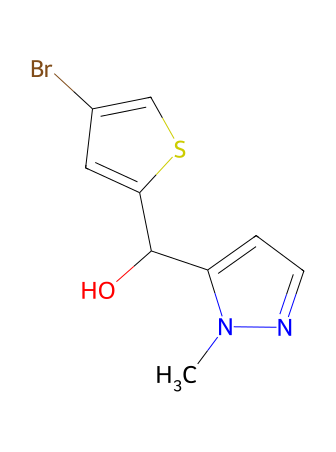 Cn1nccc1C(O)c1cc(Br)cs1